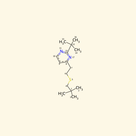 CC(C)(C)CSCCc1ccnc(C(C)(C)C)n1